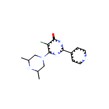 CC1CN(c2nc(-c3ccncc3)[nH]c(=O)c2Cl)CC(C)N1